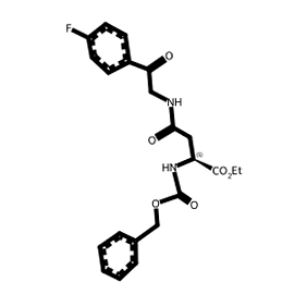 CCOC(=O)[C@H](CC(=O)NCC(=O)c1ccc(F)cc1)NC(=O)OCc1ccccc1